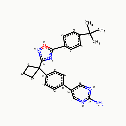 CC(C)(C)c1ccc(-c2nc(C3(c4ccc(-c5cnc(N)nc5)cc4)CCC3)no2)cc1